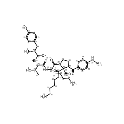 C[C@@H](O)[C@H](NC(=O)[C@@H](N)Cc1ccc(O)cc1)C(=O)N[C@@H](CCCCN)C(=O)N1CCC(C(=O)c2ccc(NN)nc2)[C@]1([C]=O)C(=O)CCCCCN